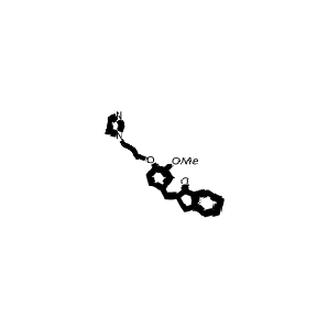 COc1cc(C=C2Cc3ccccc3C2=O)ccc1OCCCn1ccnc1